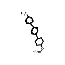 [CH2+][CH-]CCCOC1CCC(c2ccc(-c3ccc(C)cc3)cc2)CC1